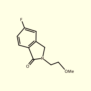 COCCN1Cc2cc(F)ccc2C1=O